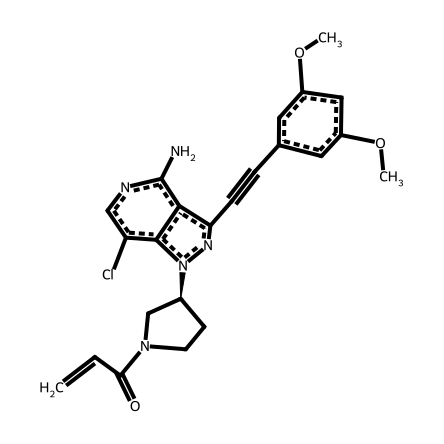 C=CC(=O)N1CC[C@H](n2nc(C#Cc3cc(OC)cc(OC)c3)c3c(N)ncc(Cl)c32)C1